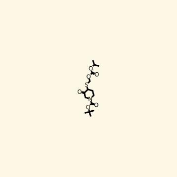 CC(C)OC(=O)OCSC1CCN(C(=O)OC(C)(C)C)CC1=O